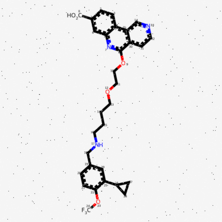 O=C(O)c1ccc2c(c1)nc(OCCOCCCCNCc1ccc(OC(F)(F)F)c(C3CC3)c1)c1ccncc12